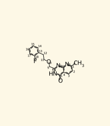 Cc1ccc2c(=O)[nH]c(COCCc3ccccc3F)nc2n1